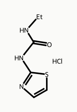 CCNC(=O)Nc1nccs1.Cl